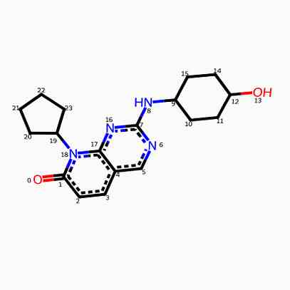 O=c1ccc2cnc(NC3CCC(O)CC3)nc2n1C1CCCC1